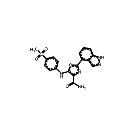 CS(=O)(=O)c1ccc(Nc2oc(-c3cccc4[nH]ncc34)nc2C(N)=O)cc1